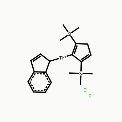 C[Si](C)(C)C1=CCC([Si](C)(C)C)=[C]1[Ti+2][CH]1C=Cc2ccccc21.[Cl-].[Cl-]